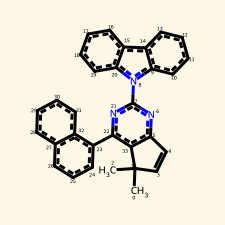 CC1(C)C=Cc2nc(-n3c4ccccc4c4ccccc43)nc(-c3cccc4ccccc34)c21